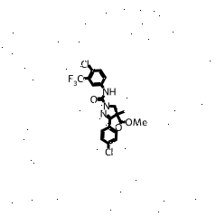 COC(=O)C1(C)CN(C(=O)Nc2ccc(Cl)c(C(F)(F)F)c2)N=C1c1ccc(Cl)cc1